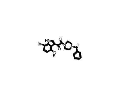 COc1ccc(Br)c2[nH]cc(C(=O)C(=O)N3CCN(C(=O)c4ccccc4)CC3)c12